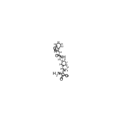 Nc1c(N2CCc3ccc(CNC(=O)Cc4noc5ccccc45)cc3C2)c(=O)c1=O